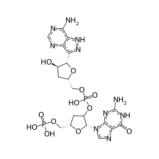 Nc1nc2c(ncn2[C@@H]2O[C@H](COP(=O)(O)O)CC2OP(=O)(O)OC[C@@H]2C[C@@H](O)[C@H](c3n[nH]c4c(N)ncnc34)O2)c(=O)[nH]1